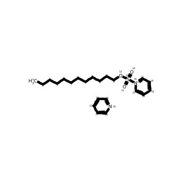 CCCCCCCCCCCCOS(=O)(=O)[n+]1ccccc1.c1ccncc1